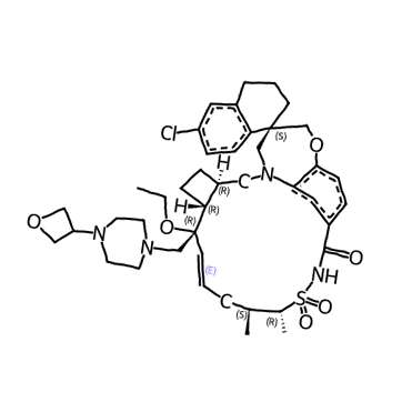 CCO[C@@]1(CN2CCN(C3COC3)CC2)/C=C/C[C@H](C)[C@@H](C)S(=O)(=O)NC(=O)c2ccc3c(c2)N(C[C@@H]2CC[C@H]21)C[C@@]1(CCCc2cc(Cl)ccc21)CO3